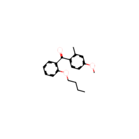 CCCCOc1ccccc1C(=O)c1ccc(OC)cc1C